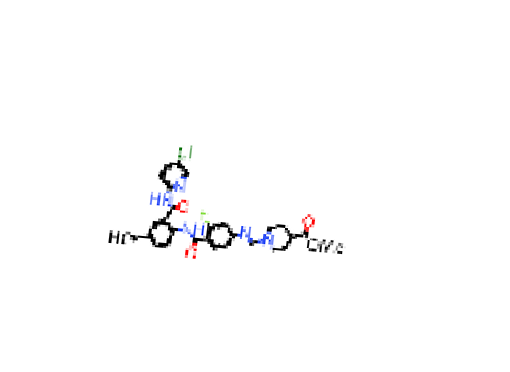 C#Cc1ccc(NC(=O)c2ccc(N=CN3CCC(C(=O)OC)CC3)cc2F)c(C(=O)Nc2ccc(Cl)cn2)c1